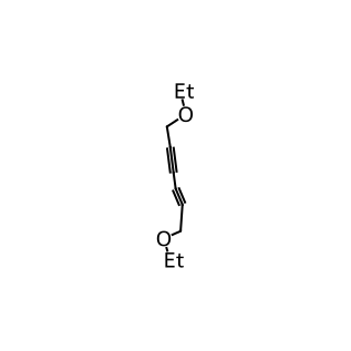 [CH2]COCC#CC#CCOC[CH2]